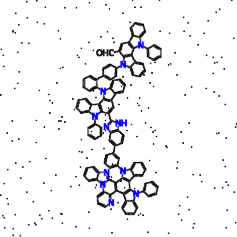 O=Cc1cc2c3ccccc3n(-c3ccccc3)c2c2c3ccccc3n(-c3ccc(-c4ccccc4-n4c5ccccc5c5cc(-c6nc7cc(-c8cccc(-n9c%10ccccc%10c%10c%11c(c%12ccccc%12n%11-c%11ccccc%11)c%11c%12ncccc%12n%12c%13ccccc%13nc%12c%11c%109)c8)ccc7[nH]6)c6c(c7ccccc7n6-c6ccccc6)c54)cc3)c12